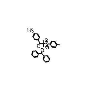 Cc1ccc(S(=O)(=O)C(C)(C)C(=O)c2ccc(S)cc2)cc1.O=C(c1ccccc1)c1ccccc1